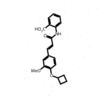 COc1cc(/C=C/C(=O)Nc2ccccc2C(=O)O)ccc1OC1CCC1